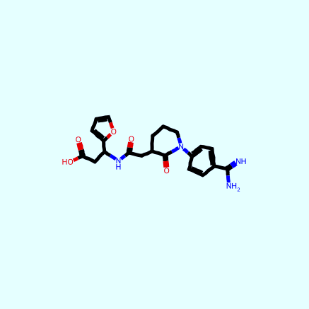 N=C(N)c1ccc(N2CCCC(CC(=O)NC(CC(=O)O)c3ccco3)C2=O)cc1